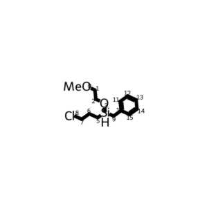 COCCO[SiH](CCCCl)Cc1ccccc1